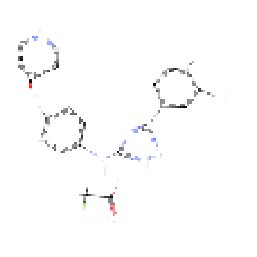 FC(F)(F)c1cc(-c2nnc(Nc3ccc(Oc4ccncc4)cc3)[nH]2)ccc1Cl.O=C(O)C(F)(F)F